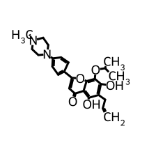 C=CCc1c(O)c(OC(C)C)c2oc(-c3ccc(N4CCN(C)CC4)cc3)cc(=O)c2c1O